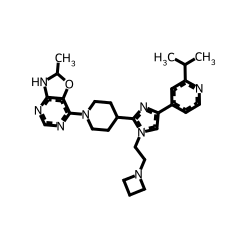 CC1Nc2ncnc(N3CCC(c4nc(-c5ccnc(C(C)C)c5)cn4CCN4CCC4)CC3)c2O1